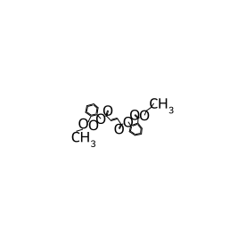 CCCOC(=O)c1ccccc1OC(=O)/C=C/C(=O)Oc1ccccc1C(=O)OCCC